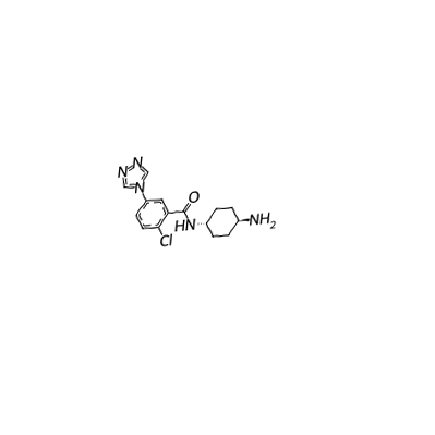 N[C@H]1CC[C@H](NC(=O)c2cc(-n3cnnc3)ccc2Cl)CC1